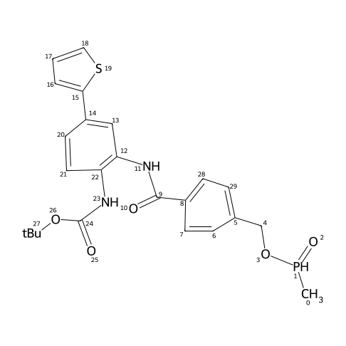 C[PH](=O)OCc1ccc(C(=O)Nc2cc(-c3cccs3)ccc2NC(=O)OC(C)(C)C)cc1